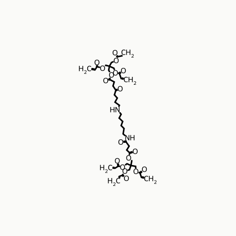 C=CC(=O)OCC(COC(=O)C=C)(COC(=O)C=C)COC(=O)CCC(=O)CCCCNCCCCCCNC(=O)CCC(=O)OCC(COC(=O)C=C)(COC(=O)C=C)COC(=O)C=C